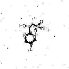 C[C@@H]([C@@H](O)c1ncc(Cl)cn1)S(N)(=O)=O